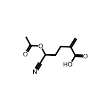 C=C(CCC(C#N)OC(C)=O)C(=O)O